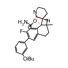 CC(C)COc1cccc(-c2cc3c(cc2F)[C@@](OC(N)=O)([C@@H]2CN4CCC2CC4)C(C)(C)CC3)c1